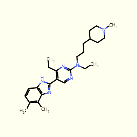 CCc1nc(N(CC)CCCC2CCN(C)CC2)ncc1-c1nc2c(C)c(C)ccc2[nH]1